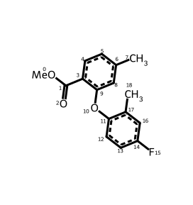 COC(=O)c1ccc(C)cc1Oc1ccc(F)cc1C